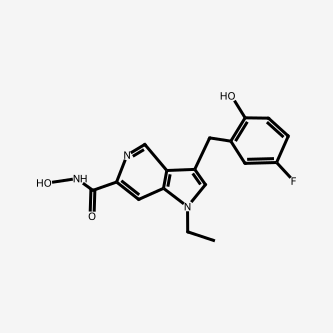 CCn1cc(Cc2cc(F)ccc2O)c2cnc(C(=O)NO)cc21